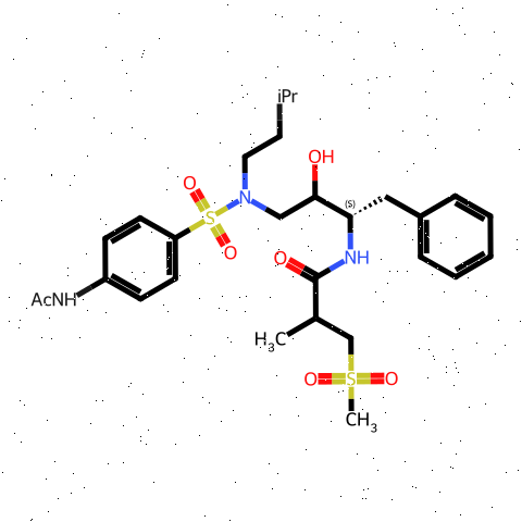 CC(=O)Nc1ccc(S(=O)(=O)N(CCC(C)C)CC(O)[C@H](Cc2ccccc2)NC(=O)C(C)CS(C)(=O)=O)cc1